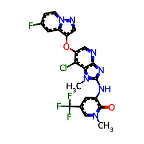 Cn1cc(C(F)(F)F)cc(Nc2nc3ncc(Oc4cnn5ccc(F)cc45)c(Cl)c3n2C)c1=O